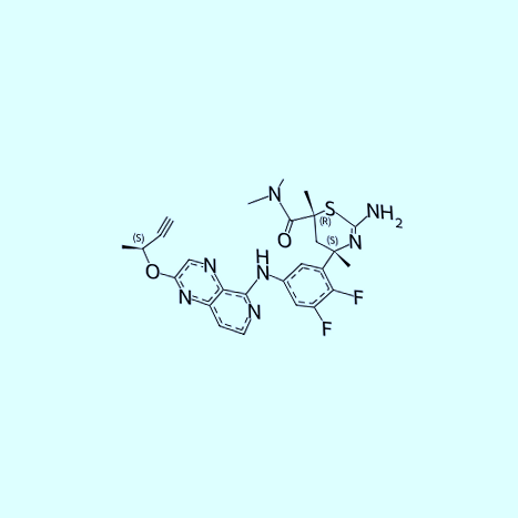 C#C[C@H](C)Oc1cnc2c(Nc3cc(F)c(F)c([C@]4(C)C[C@](C)(C(=O)N(C)C)SC(N)=N4)c3)nccc2n1